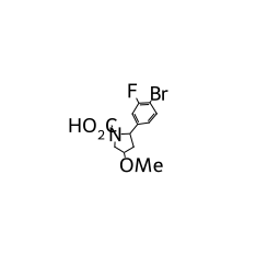 COC1CC(c2ccc(Br)c(F)c2)N(C(=O)O)C1